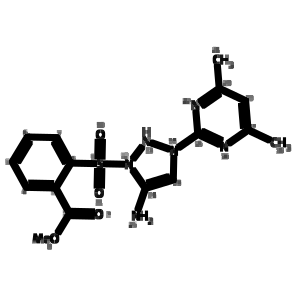 COC(=O)c1ccccc1S(=O)(=O)N1NN(c2nc(C)cc(C)n2)C=C1N